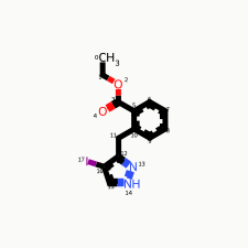 CCOC(=O)c1ccccc1Cc1n[nH]cc1I